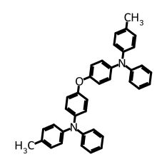 Cc1ccc(N(c2ccccc2)c2ccc(Oc3ccc(N(c4ccccc4)c4ccc(C)cc4)cc3)cc2)cc1